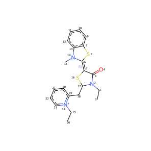 CCN1C(=O)/C(=C2\Sc3ccccc3N2C)SC1Cc1cccc[n+]1CC